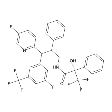 O=C(NCC(c1ccccc1)C(c1cc(F)cc(C(F)(F)F)c1)c1ccc(F)cn1)[C@@](O)(c1ccccc1)C(F)(F)F